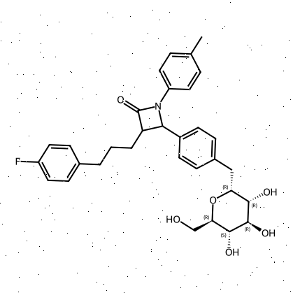 Cc1ccc(N2C(=O)C(CCCc3ccc(F)cc3)C2c2ccc(C[C@H]3O[C@H](CO)[C@@H](O)[C@H](O)[C@H]3O)cc2)cc1